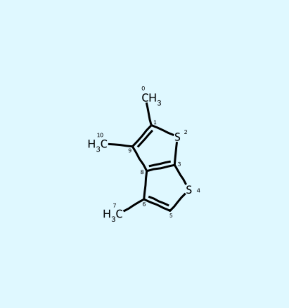 Cc1sc2scc(C)c2c1C